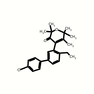 CCc1ccc(-c2ccc(Cl)cc2)cc1C1=C(C)C(C)(C)OC(C)(C)C1=O